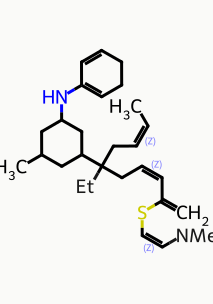 C=C(/C=C\CC(CC)(C/C=C\C)C1CC(C)CC(NC2=CCCC=C2)C1)S/C=C\NC